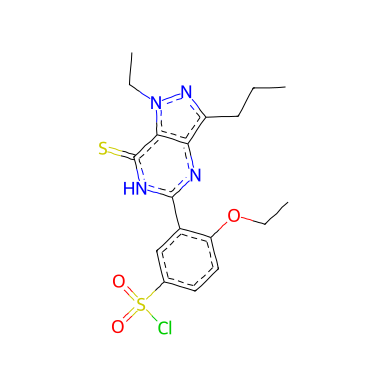 CCCc1nn(CC)c2c(=S)[nH]c(-c3cc(S(=O)(=O)Cl)ccc3OCC)nc12